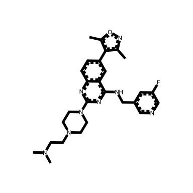 Cc1noc(C)c1-c1ccc2nc(N3CCN(CCN(C)C)CC3)nc(NCc3cncc(F)c3)c2c1